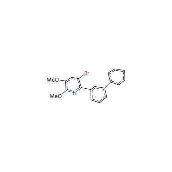 COc1cc(Br)c(-c2cccc(-c3ccccc3)c2)nc1OC